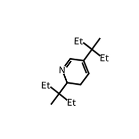 CCC(C)(CC)C1=CCC(C(C)(CC)CC)N=C1